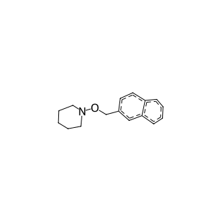 c1ccc2cc(CON3CCCCC3)ccc2c1